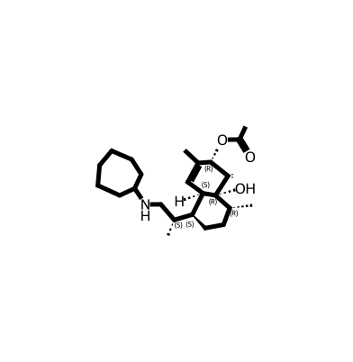 CC(=O)O[C@@H]1[C][C@@]2(O)[C@H](C)CC[C@@H]([C@H](C)CNC3CCCCCC3)[C@H]2C=C1C